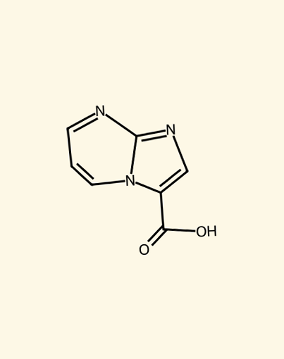 O=C(O)c1cnc2ncccn12